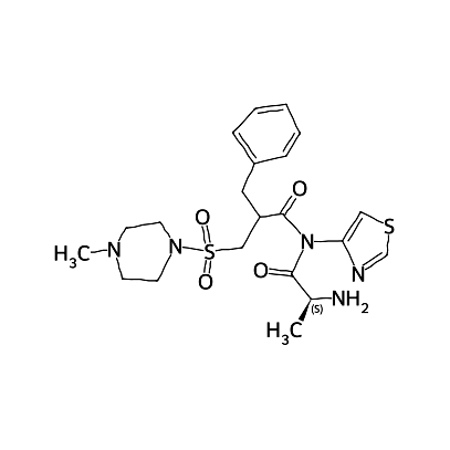 C[C@H](N)C(=O)N(C(=O)C(Cc1ccccc1)CS(=O)(=O)N1CCN(C)CC1)c1cscn1